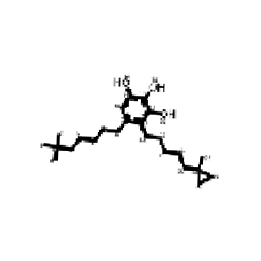 CC(C)(C)CCCCCc1cc(O)c(O)c(O)c1CCCCCC1(C)CC1